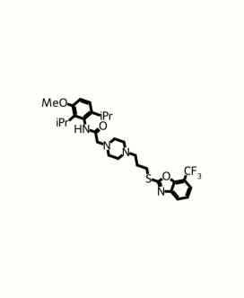 COc1ccc(C(C)C)c(NC(=O)CN2CCN(CCCSc3nc4cccc(C(F)(F)F)c4o3)CC2)c1C(C)C